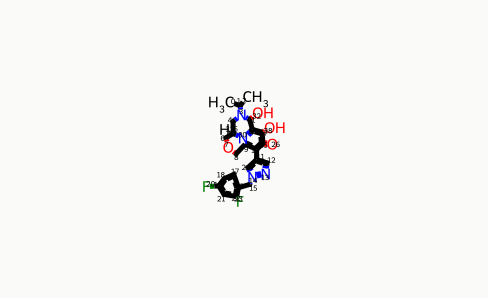 CC(C)N1C[C@@H]2COCc3c(-c4cnn(Cc5ccc(F)cc5F)c4)c(=O)c(O)c(n32)C1O